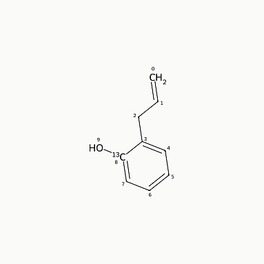 C=CCc1cccc[13c]1O